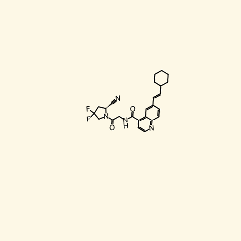 N#C[C@@H]1CC(F)(F)CN1C(=O)CNC(=O)c1ccnc2ccc(/C=C/C3CCCCC3)cc12